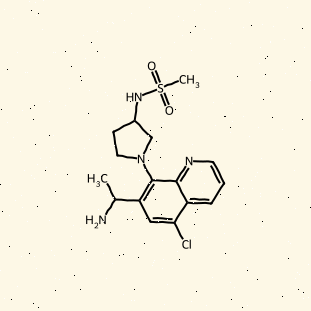 CC(N)c1cc(Cl)c2cccnc2c1N1CCC(NS(C)(=O)=O)C1